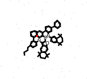 CCCCc1ccc(N2c3cc(C)cc4c3B(c3oc5cc6c(cc5c32)C(C)(C)CCC6(C)C)N(c2ccc3c(c2)C(C)(C)CCC3(C)C)c2cc(-c3ccccc3)ccc2-4)c(-c2ccccc2)c1